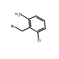 Nc1cccc(Cl)c1CBr